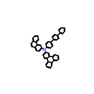 c1ccc(-c2ccc(-c3ccc(N(c4ccc5ccc6ccccc6c5c4)c4ccc5c6ccccc6c6ccccc6c5c4)cc3)cc2)cc1